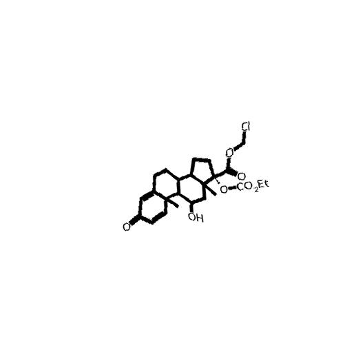 CCOC(=O)O[C@@]1(C(=O)OCCl)CCC2C3CCC4=CC(=O)C=CC4(C)C3C(O)CC21C